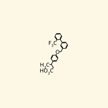 CC(CC(=O)O)c1ccc(OCc2cccc(-c3ccccc3C(F)(F)F)c2)cc1